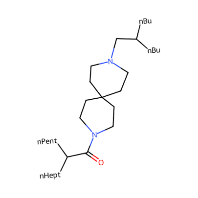 CCCCCCCC(CCCCC)C(=O)N1CCC2(CCN(CC(CCCC)CCCC)CC2)CC1